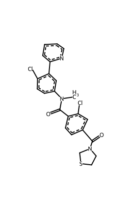 CN(C(=O)c1ccc(C(=O)N2CCSC2)cc1Cl)c1ccc(Cl)c(-c2ccccn2)c1